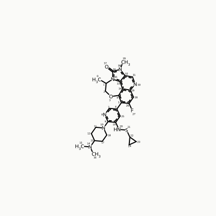 CC1COc2c(-c3cnc(N4CCC(N(C)C)CC4)c(NSC4CC4)c3)c(F)cc3ncc4c(c23)n1c(=O)n4C